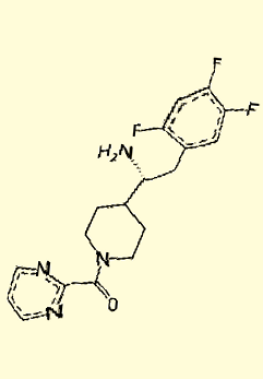 N[C@H](Cc1cc(F)c(F)cc1F)C1CCN(C(=O)c2ncccn2)CC1